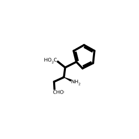 N[C@@H](C[C]=O)C(C(=O)O)c1ccccc1